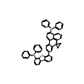 c1ccc(N(c2ccccc2)c2ccc3c4c(cccc24)C2(CC2)c2cc(-c4cccc5c4oc4c(N(c6ccccc6)c6ccccc6)cccc45)ccc2-3)cc1